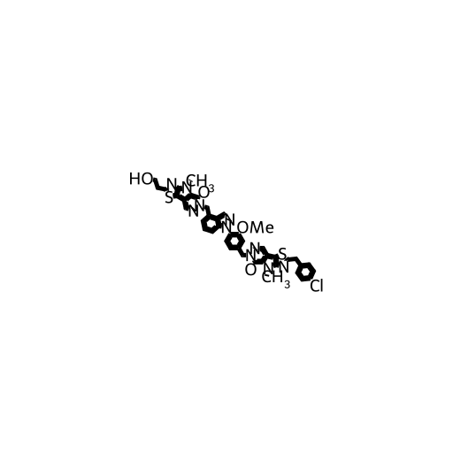 COc1cc(Cn2ncc3c4sc(Cc5ccc(Cl)cc5)nc4n(C)c3c2=O)ccc1-n1ncc2c(Cn3ncc4c5sc(CCO)nc5n(C)c4c3=O)cccc21